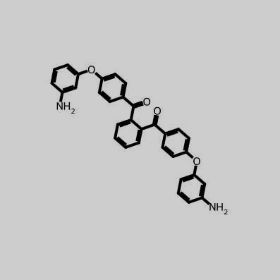 Nc1cccc(Oc2ccc(C(=O)c3ccccc3C(=O)c3ccc(Oc4cccc(N)c4)cc3)cc2)c1